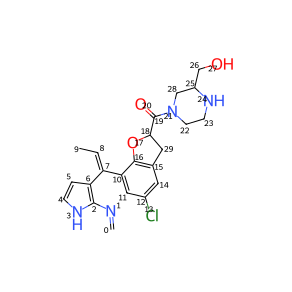 C=Nc1[nH]ccc1/C(=C\C)c1cc(Cl)cc2c1OC(C(=O)N1CCNC(CO)C1)C2